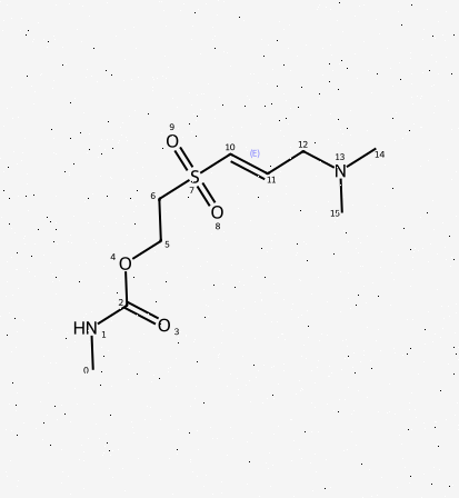 CNC(=O)OCCS(=O)(=O)/C=C/CN(C)C